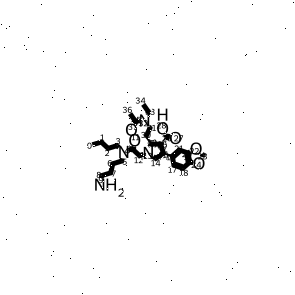 CCCCN(CCCCN)C(=O)CN1C[C@H](c2ccc3c(c2)OCO3)[C@@H](C(=O)O)[C@@H]1CCN(CC)C(C)=O